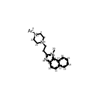 CC(=O)N1CCN(CCc2nc3ccc4ccccc4c3n2C)CC1